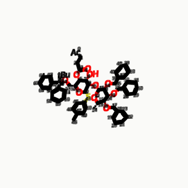 CC(=O)CCC(=O)O[C@@H]1[C@H](O)[C@@H](O[C@@H]2O[C@@H](C)[C@@H](OCc3ccccc3)[C@@H](OCc3ccccc3)[C@@H]2OCc2ccccc2)[C@H](Sc2ccc(C)cc2)O[C@@H]1CO[Si](c1ccccc1)(c1ccccc1)C(C)(C)C